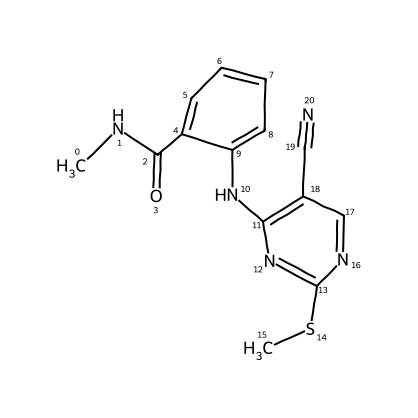 CNC(=O)c1ccccc1Nc1nc(SC)ncc1C#N